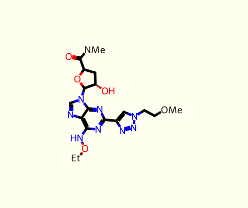 CCONc1nc(-c2cn(CCOC)nn2)nc2c1ncn2C1OC(C(=O)NC)C[C@H]1O